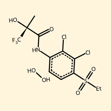 CCS(=O)(=O)c1ccc(NC(=O)[C@@](C)(O)C(F)(F)F)c(Cl)c1Cl.OO